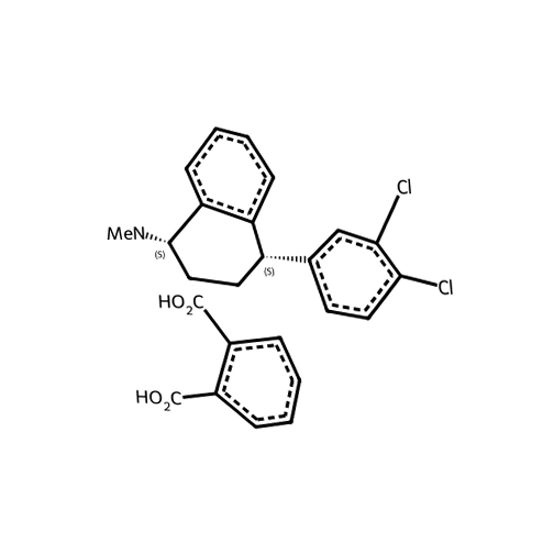 CN[C@H]1CC[C@@H](c2ccc(Cl)c(Cl)c2)c2ccccc21.O=C(O)c1ccccc1C(=O)O